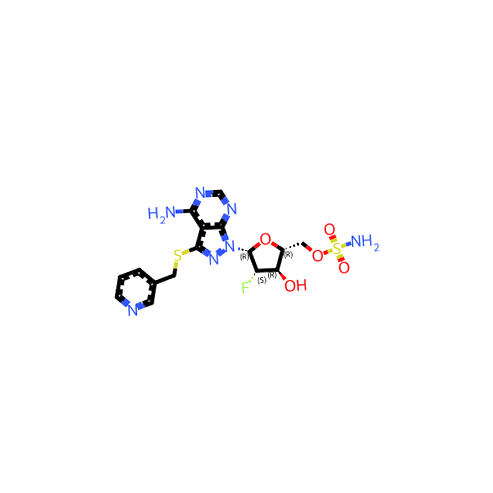 Nc1ncnc2c1c(SCc1cccnc1)nn2[C@@H]1O[C@H](COS(N)(=O)=O)[C@@H](O)[C@@H]1F